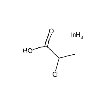 CC(Cl)C(=O)O.[InH3]